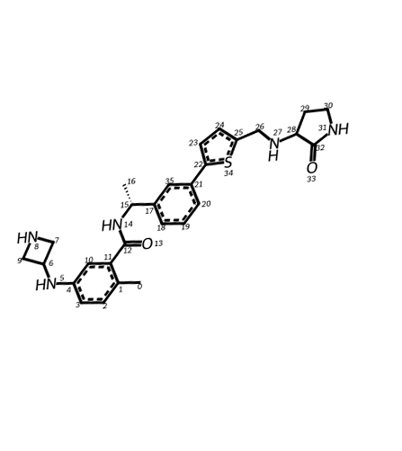 Cc1ccc(NC2CNC2)cc1C(=O)N[C@H](C)c1cccc(-c2ccc(CNC3CCNC3=O)s2)c1